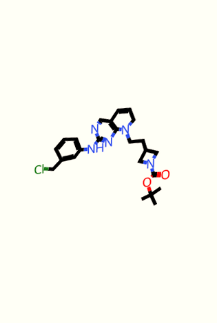 CC(C)(C)OC(=O)N1CC(CCN2CC=Cc3cnc(Nc4cccc(CCl)c4)nc32)C1